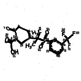 CC(C)(C1CCC(=O)N(C(=O)O)C1)S(=O)(=O)c1cccc(C(F)(F)F)c1